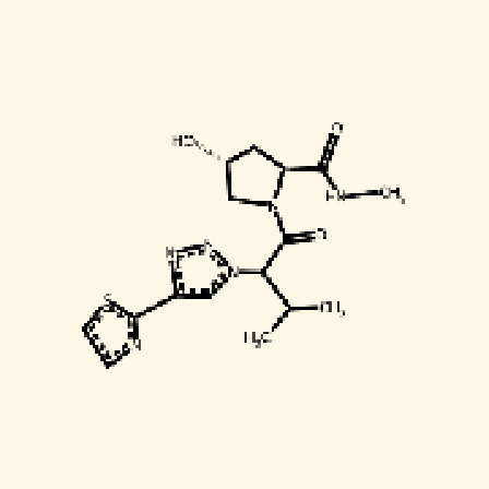 CNC(=O)[C@@H]1C[C@@H](O)CN1C(=O)C(C(C)C)n1cc(-c2nccs2)nn1